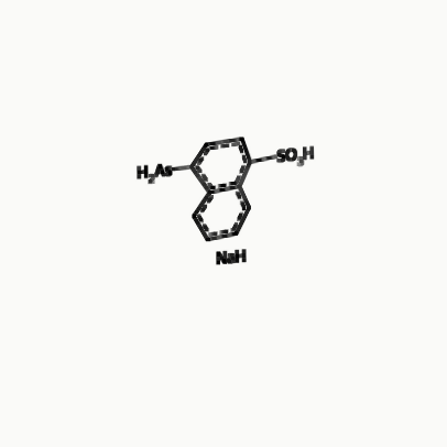 O=S(=O)(O)c1ccc([AsH2])c2ccccc12.[NaH]